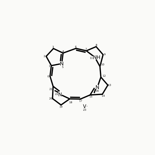 C1=C2CCC(=N2)C=C2CCC(N2)C2CCC(=N2)C=C2CCC1=N2.[V]